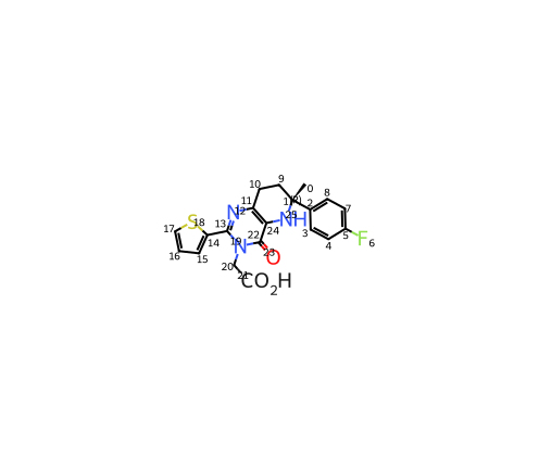 C[C@]1(c2ccc(F)cc2)CCc2nc(-c3cccs3)n(CC(=O)O)c(=O)c2N1